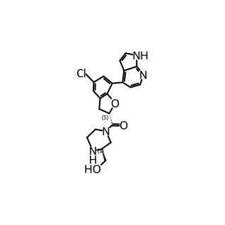 O=C([C@@H]1Cc2cc(Cl)cc(-c3ccnc4[nH]ccc34)c2O1)N1CCN[C@H](CO)C1